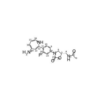 CC(=O)NC[C@H]1CN(c2ccc(C3=CC(N)=CC=CN3)c(F)c2)C(=O)O1